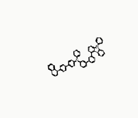 c1ccc(N(c2ccc(-c3ccc(-c4cccc5ccccc45)cc3)cc2)c2cccc(-c3cccc(-c4cccc5c4c4ccccc4n5-c4ccccc4)c3)c2)cc1